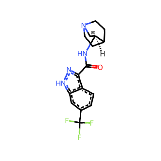 O=C(N[C@H]1CN2CCC1CC2)c1n[nH]c2cc(C(F)(F)F)ccc12